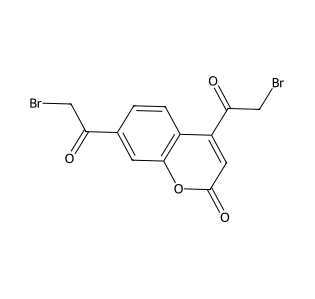 O=C(CBr)c1ccc2c(C(=O)CBr)cc(=O)oc2c1